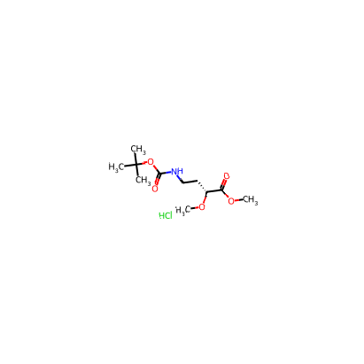 COC(=O)[C@@H](CCNC(=O)OC(C)(C)C)OC.Cl